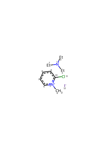 CCN(CC)CC.C[n+]1ccccc1Cl.[I-]